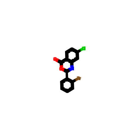 O=c1oc(-c2ccccc2Br)nc2cc(Cl)ccc12